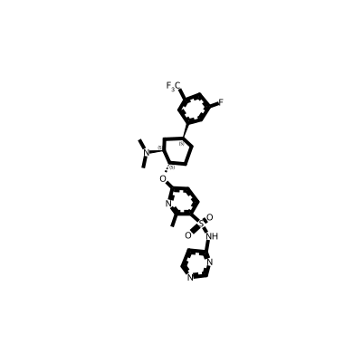 Cc1nc(O[C@H]2CC[C@H](c3cc(F)cc(C(F)(F)F)c3)C[C@@H]2N(C)C)ccc1S(=O)(=O)Nc1ccncn1